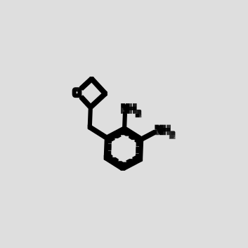 Nc1cccc(CC2CCO2)c1N